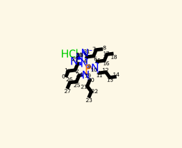 CCCCN(CCCC)P(N(CCCC)CCCC)N(CCCC)CCCC.Cl.[N-]=[N+]=[N-]